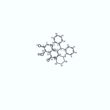 O=c1cnn2c(C(c3ccccc3)c3ccccc3)c3n(c(=O)c2c1O)CCCC3